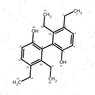 CCc1ccc(O)c(-c2c(O)ccc(CC)c2CC)c1CC